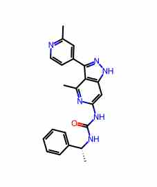 Cc1cc(-c2n[nH]c3cc(NC(=O)N[C@H](C)c4ccccc4)nc(C)c23)ccn1